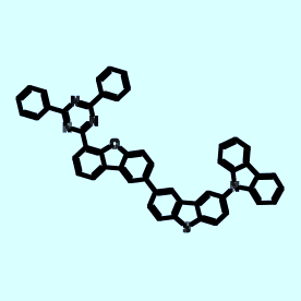 c1ccc(-c2nc(-c3ccccc3)nc(-c3cccc4c3oc3ccc(-c5ccc6sc7ccc(-n8c9ccccc9c9ccccc98)cc7c6c5)cc34)n2)cc1